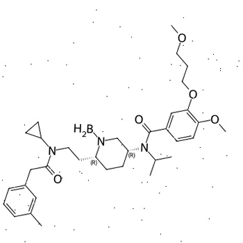 BN1C[C@H](N(C(=O)c2ccc(OC)c(OCCCOC)c2)C(C)C)CC[C@@H]1CCN(C(=O)Cc1cccc(C)c1)C1CC1